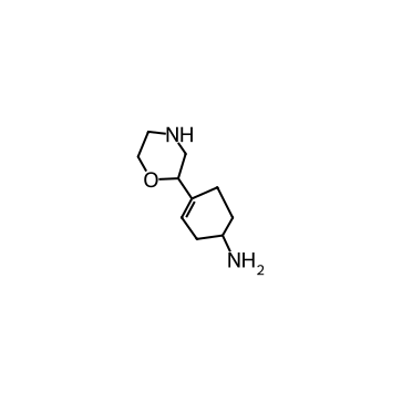 NC1CC=C(C2CNCCO2)CC1